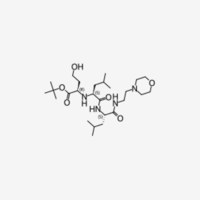 CC(C)C[C@H](NC(=O)[C@H](CC(C)C)N[C@H](CCO)C(=O)OC(C)(C)C)C(=O)NCCN1CCOCC1